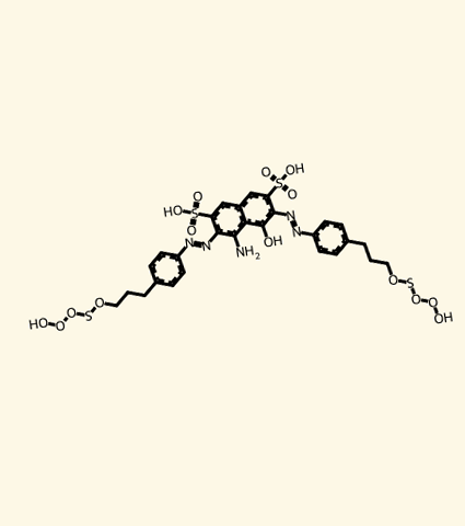 Nc1c(N=Nc2ccc(CCCOSOOO)cc2)c(S(=O)(=O)O)cc2cc(S(=O)(=O)O)c(N=Nc3ccc(CCCOSOOO)cc3)c(O)c12